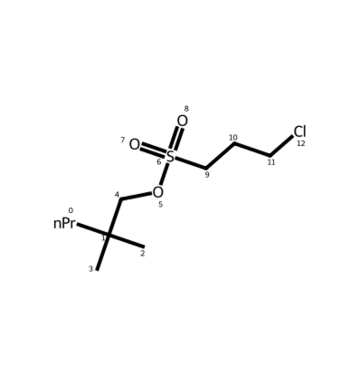 [CH2]CCC(C)(C)COS(=O)(=O)CCCCl